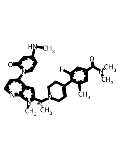 CNc1ccn(-c2ccnc3c2cc([C@@H](C)N2CC=C(c4c(C)cc(C(=O)N(C)C)cc4F)CC2)n3C)c(=O)c1